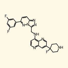 Fc1cc(F)cc(-c2ccc3nnc(CNc4ccnc5cc(C6(F)CCNCC6)cnc45)n3n2)c1